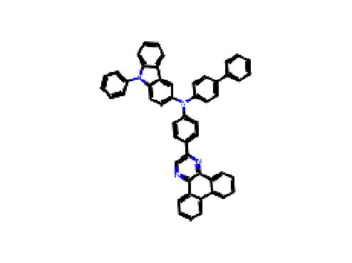 c1ccc(-c2ccc(N(c3ccc(-c4cnc5c6ccccc6c6ccccc6c5n4)cc3)c3ccc4c(c3)c3ccccc3n4-c3ccccc3)cc2)cc1